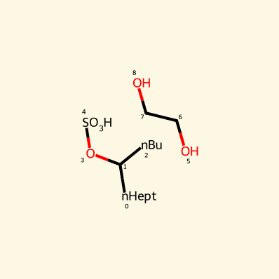 CCCCCCCC(CCCC)OS(=O)(=O)O.OCCO